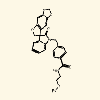 CCOCCNC(=O)c1ccc(CN2C(=O)C3(COc4cc5c(cc43)OCO5)c3ccccc32)cc1